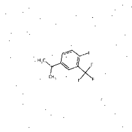 C[C](C)c1ccc(I)c(C(F)(F)F)c1